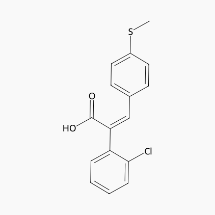 CSc1ccc(/C=C(\C(=O)O)c2ccccc2Cl)cc1